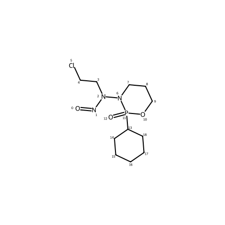 O=NN(CCCl)N1CCCOP1(=O)C1CCCCC1